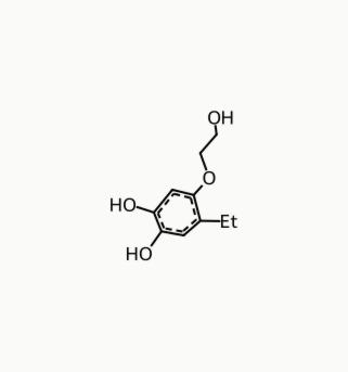 CCc1cc(O)c(O)cc1OCCO